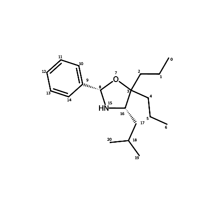 CCCC1(CCC)O[C@@H](c2ccccc2)N[C@H]1CC(C)C